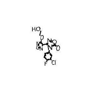 O=c1onc(-c2nonc2OCCO)n1-c1ccc(F)c(Cl)c1